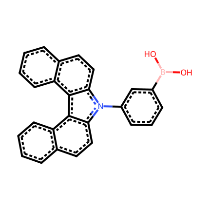 OB(O)c1cccc(-n2c3ccc4ccccc4c3c3c4ccccc4ccc32)c1